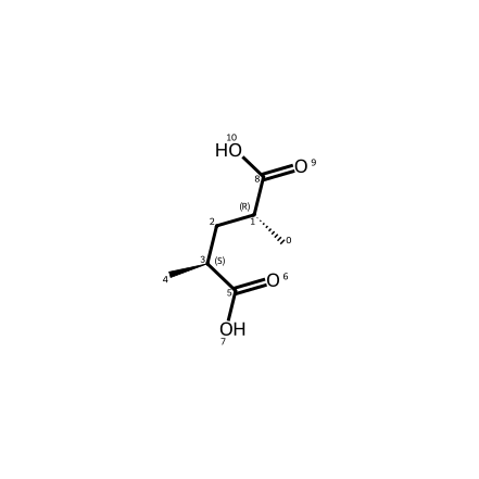 C[C@H](C[C@H](C)C(=O)O)C(=O)O